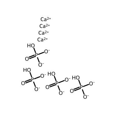 O=P([O-])([O-])O.O=P([O-])([O-])O.O=P([O-])([O-])O.O=P([O-])([O-])O.[Ca+2].[Ca+2].[Ca+2].[Ca+2]